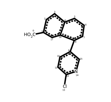 O=C(O)c1ccc2cccc(-c3ccc(Cl)nc3)c2c1